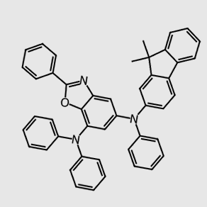 CC1(C)c2ccccc2-c2ccc(N(c3ccccc3)c3cc(N(c4ccccc4)c4ccccc4)c4oc(-c5ccccc5)nc4c3)cc21